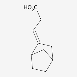 O=C(O)CC=C1CC2CCC1C2